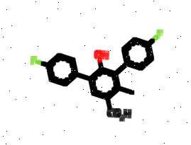 Cc1c(C(=O)O)cc(-c2ccc(F)cc2)c(O)c1-c1ccc(F)cc1